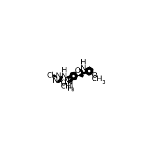 COc1ccc2c(c1)[C@]1(C[C@H]1c1ccc3c(Nc4nc(Cl)ncc4OC)n[nH]c3c1)C(=O)N2